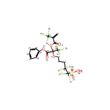 C=C(C(=O)OC(OCCCC(F)(F)C(F)(F)S(=O)(=O)O)(C(=O)Oc1ccccc1)C(F)(F)F)C(F)(F)F